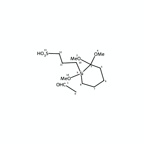 CC=O.COC1(OC)CCCC[Si]1(CCCS(=O)(=O)O)OC